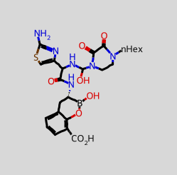 CCCCCCN1CCN(C(O)NC(C(=O)N[C@H]2Cc3cccc(C(=O)O)c3OB2O)c2csc(N)n2)C(=O)C1=O